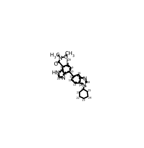 CON(C)C(=O)c1c(F)cc(-c2ccc3c(c2)ncn3C2CCCCC2)c2nc[nH]c12